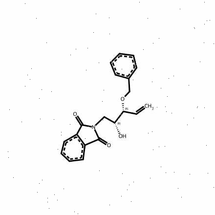 C=C[C@@H](OCc1ccccc1)[C@H](O)CN1C(=O)c2ccccc2C1=O